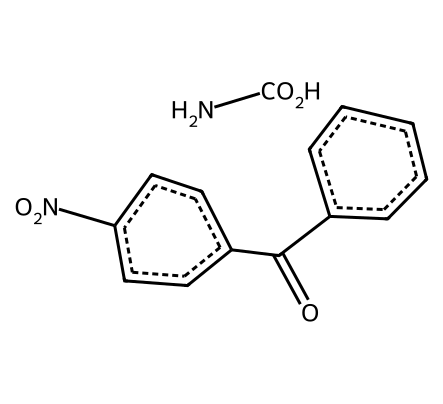 NC(=O)O.O=C(c1ccccc1)c1ccc([N+](=O)[O-])cc1